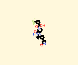 COc1cc(-c2cccc(C3(c4nc5c(c(=O)[nH]4)CN(C(=O)[C@H](O)c4cccc(C(F)(F)F)c4)CCC5)CC3)c2)ccn1